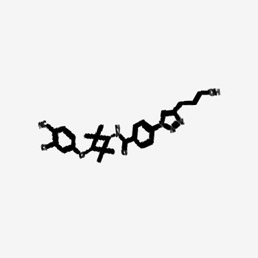 CC1(C)[C@H](NC(=O)c2ccc(-n3cc(CCCO)nn3)cc2)C(C)(C)[C@H]1Oc1ccc(C#N)c(Cl)c1